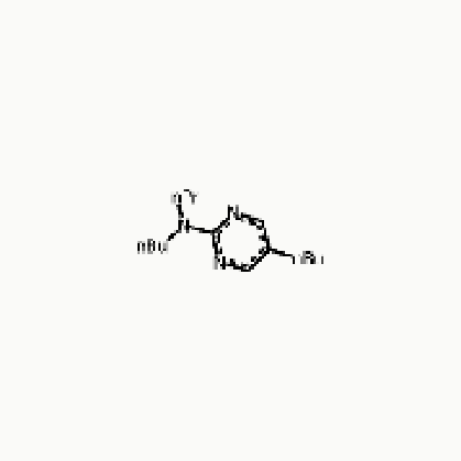 CCCCc1cnc(N(CCC)CCCC)nc1